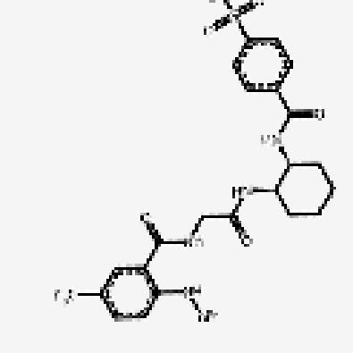 CCCNc1ccc(C(F)(F)F)cc1C(=O)NCC(=O)N[C@@H]1CCCC[C@@H]1NC(=O)c1ccc(S(N)(=O)=O)cc1